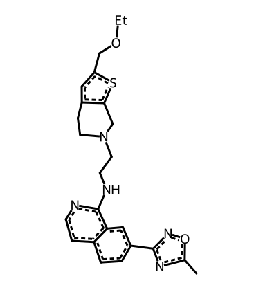 CCOCc1cc2c(s1)CN(CCNc1nccc3ccc(-c4noc(C)n4)cc13)CC2